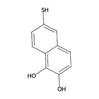 Oc1ccc2cc(S)ccc2c1O